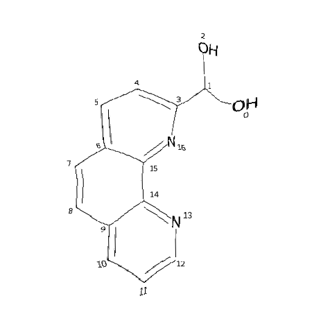 OC(O)c1ccc2ccc3cccnc3c2n1